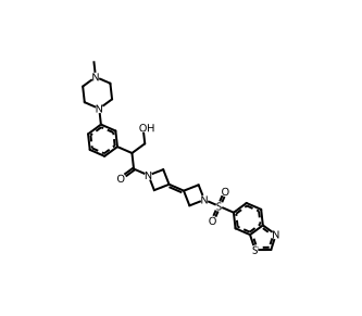 CN1CCN(c2cccc(C(CO)C(=O)N3CC(=C4CN(S(=O)(=O)c5ccc6ncsc6c5)C4)C3)c2)CC1